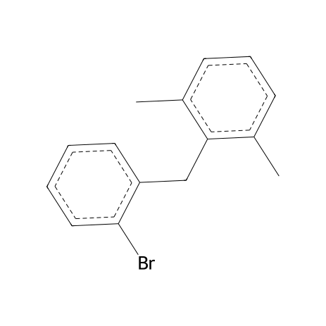 Cc1cccc(C)c1Cc1ccccc1Br